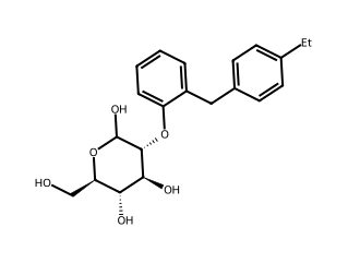 CCc1ccc(Cc2ccccc2O[C@H]2C(O)O[C@H](CO)[C@@H](O)[C@@H]2O)cc1